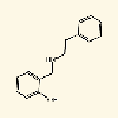 Oc1ccccc1CNCCc1ccccc1